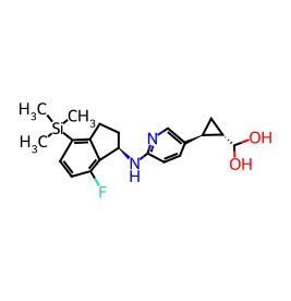 C[Si](C)(C)c1ccc(F)c2c1CC[C@H]2Nc1ccc([C@H]2C[C@@H]2C(O)O)cn1